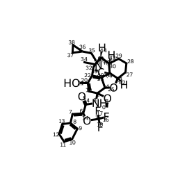 COC1(NC(=O)C(=Cc2ccccc2)OC(F)(F)F)C=C(O)C2=C3C1O[C@H]1CCC[C@H]4[C@@H](C2)[N+](C)(CC2CC2)CC[C@]314